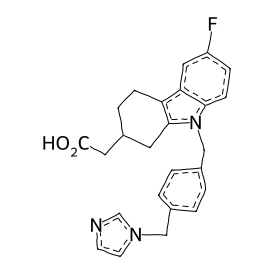 O=C(O)CC1CCc2c(n(Cc3ccc(Cn4ccnc4)cc3)c3ccc(F)cc23)C1